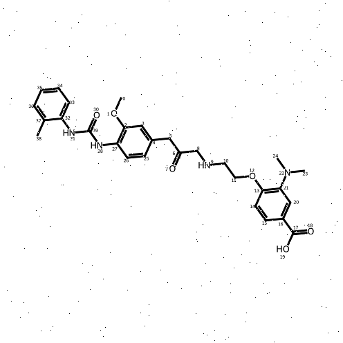 COc1cc(CC(=O)CNCCOc2ccc(C(=O)O)cc2N(C)C)ccc1NC(=O)Nc1ccccc1C